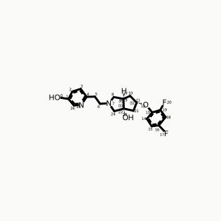 Oc1ccc(CCN2C[C@H]3C[C@H](Oc4ccc(F)cc4F)C[C@@]3(O)C2)nc1